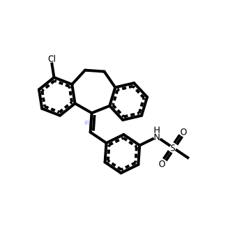 CS(=O)(=O)Nc1cccc(/C=C2\c3ccccc3CCc3c(Cl)cccc32)c1